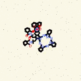 CC(C)(Cc1c(CC(C)(C)N2C(=O)c3ccccc3C2=O)c(CC(C)(C)N2C(=O)c3ccccc3C2=O)c2c3nc4nc(nc5[nH]c(nc6nc(nc([nH]3)c2c1CC(C)(C)N1C(=O)c2ccccc2C1=O)-c1ccccc1-6)c1ccccc51)-c1ccccc1-4)N1C(=O)c2ccccc2C1=O